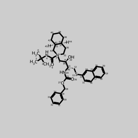 CC(C)(C)NC(=O)[N+]1(C[C@@H](O)[C@H](CSc2ccc3ccccc3c2)NC(=O)OCc2ccccc2)CC[C@@H]2CCCC[C@@H]2C1